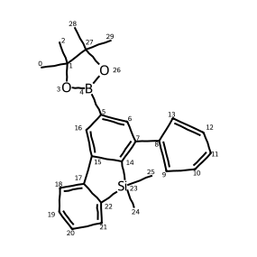 CC1(C)OB(c2cc(-c3ccccc3)c3c(c2)-c2ccccc2[Si]3(C)C)OC1(C)C